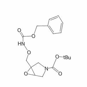 CC(C)(C)OC(=O)N1CC2OC2(CONC(=O)OCc2ccccc2)C1